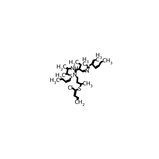 C=C/C=C(/Cl)SC(C)CC/N=C(/NC(=C)C(C)S/C=C\CC)C(/C=N\N(C)C(/C=C\CC)=C/C)CC